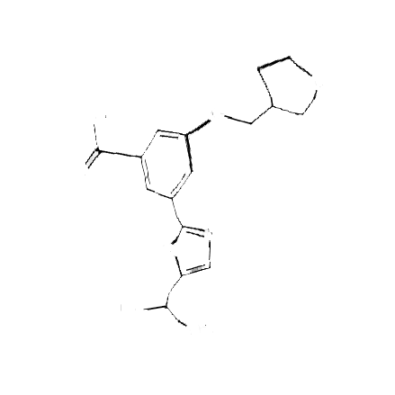 CC(C)c1cnc(-c2cc(OCC3CCOC3)cc(C(=O)O)c2)s1